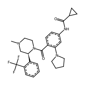 CN1CCN(C(=O)c2ccc(NC(=O)C3CC3)cc2N2CCCC2)[C@@H](c2ccccc2C(F)(F)F)C1